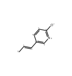 [CH2]C=Cc1ccc(Cl)nc1